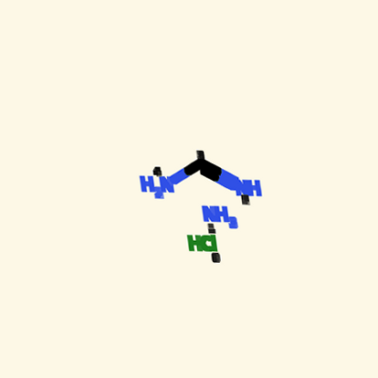 Cl.N.N=CN